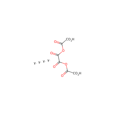 O=C(O)C(=O)OC(=O)C(=O)OC(=O)C(=O)O.[Y].[Y].[Y].[Y]